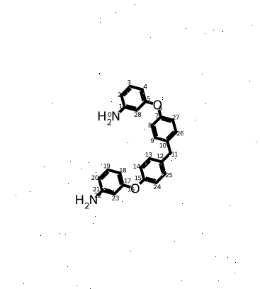 Nc1cccc(Oc2ccc(Cc3ccc(Oc4cccc(N)c4)cc3)cc2)c1